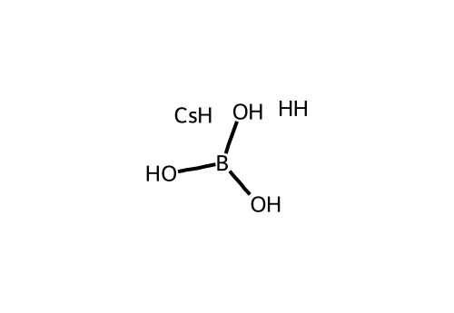 OB(O)O.[CsH].[HH]